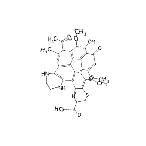 COC1=CC(=O)c2c(O)c(OC)c3c4c2c1c1c(OC)c2c(c5c6c(c(c4c15)C=C(C)C3C(C)=O)NCCN6)=NC(C(=O)O)CS2